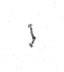 CC(C)(C)C(=O)CCOCCOCCOCc1cn(CCOCCC(=O)C(C)(C)C)nn1